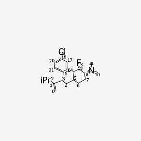 C=C(C(C)C)C(CC1CC[C@@H](N(C)C)[C@@H](F)C1)c1ccc(Cl)cc1